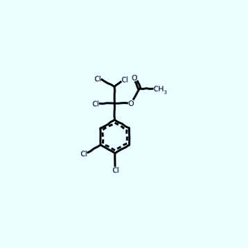 CC(=O)OC(Cl)(c1ccc(Cl)c(Cl)c1)C(Cl)Cl